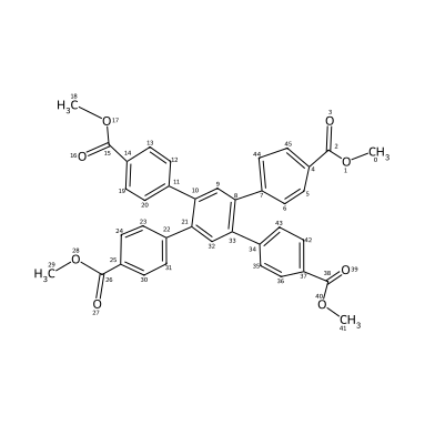 COC(=O)c1ccc(-c2cc(-c3ccc(C(=O)OC)cc3)c(-c3ccc(C(=O)OC)cc3)cc2-c2ccc(C(=O)OC)cc2)cc1